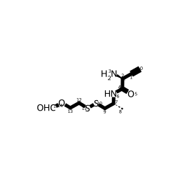 C#C[C@H](N)C(=O)N[C@H](C)CSSCCOC=O